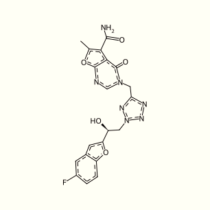 Cc1oc2ncn(Cc3nnn(C[C@H](O)c4cc5cc(F)ccc5o4)n3)c(=O)c2c1C(N)=O